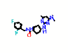 Cc1cc(N(C)C)nc(N[C@H]2CC[C@@H](C(=O)NCc3ccc(F)cc3F)CC2)n1